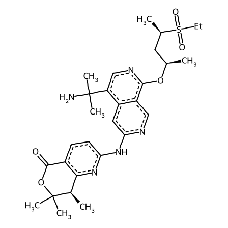 CCS(=O)(=O)[C@H](C)C[C@@H](C)Oc1ncc(C(C)(C)N)c2cc(Nc3ccc4c(n3)[C@@H](C)C(C)(C)OC4=O)ncc12